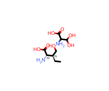 CC[C@H](CO)[C@H](N)C(=O)O.NC(C(=O)O)C(O)O